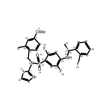 COc1ccc(CN(c2nccs2)S(=O)(=O)c2cc(F)c(N[C@@H](C)c3ccccc3F)cc2F)c(C)c1